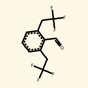 O=Cc1c(CC(F)(F)F)cccc1CC(F)(F)F